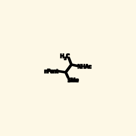 CCCCCC(SC)C(C)NC(C)=O